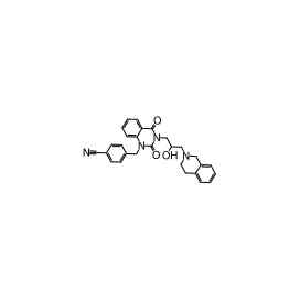 N#Cc1ccc(Cn2c(=O)n(CC(O)CN3CCc4ccccc4C3)c(=O)c3ccccc32)cc1